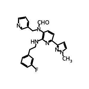 Cn1ccc(-c2ccc(N(C=O)Cc3cccnc3)c(NCCc3cccc(F)c3)n2)n1